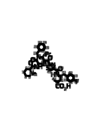 CCC(C)C(NC(=O)C1CCCCN1C)C(=O)N(Cc1ccccc1)[C@H](CC(=O)c1nc(C(=O)N[C@@H](Cc2ccc(F)cc2)C[C@H](C)C(=O)O)cs1)C(C)C